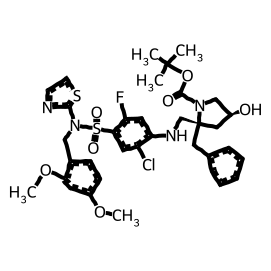 COc1ccc(CN(c2nccs2)S(=O)(=O)c2cc(Cl)c(NC[C@]3(Cc4ccccc4)C[C@H](O)CN3C(=O)OC(C)(C)C)cc2F)c(OC)c1